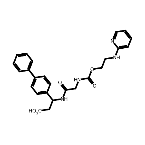 O=C(O)CC(NC(=O)CNC(=O)OCCNc1ccccn1)c1ccc(-c2ccccc2)cc1